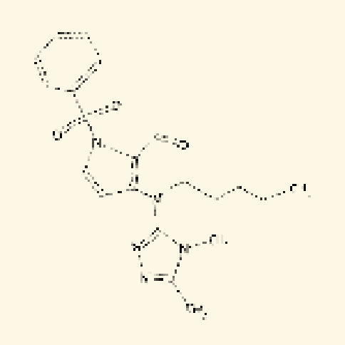 CCCCCN(c1ccn(S(=O)(=O)c2ccccc2)c1C=O)c1nnc(C)n1C